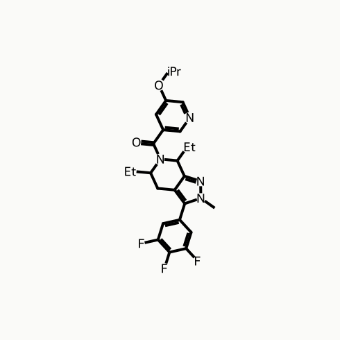 CCC1Cc2c(nn(C)c2-c2cc(F)c(F)c(F)c2)C(CC)N1C(=O)c1cncc(OC(C)C)c1